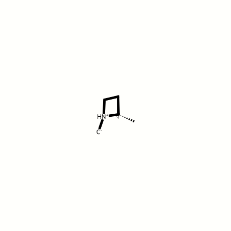 [CH2-][NH+]1CC[C@@H]1C